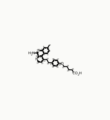 Cc1ccc2c(c1)nc(N)c1nccc(CCc3ccc(OCCCCC(=O)O)cc3)c12